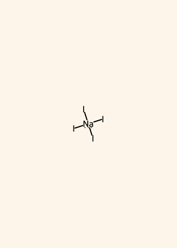 [I][Na]([I])([I])[I]